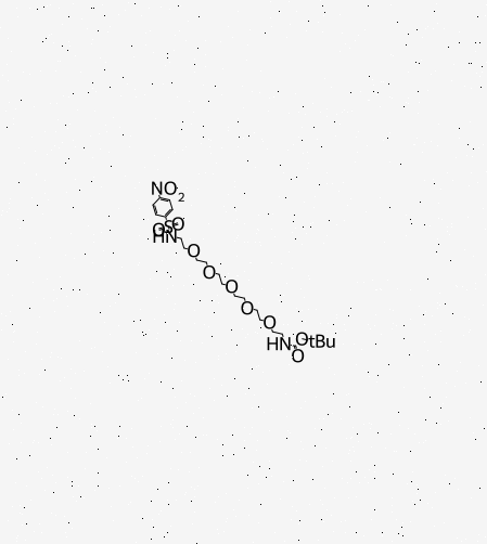 CC(C)(C)OC(=O)NCCOCCOCCOCCOCCOCCNS(=O)(=O)c1ccc([N+](=O)[O-])cc1